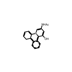 CC(=O)NC1=CN2C3=CC=CCC3=c3ccccc3=C2C(O)=C1